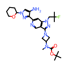 CN(C(=O)OC(C)(C)C)C1CN(c2nn(CC(C)(C)F)c3cc(-c4nn(C5CCCCO5)cc4N)ncc23)C1